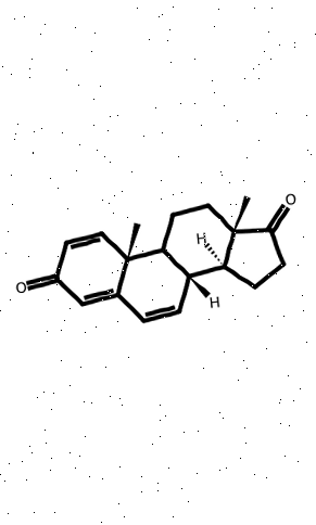 C[C@]12C=CC(=O)C=C1C=C[C@@H]1C2CC[C@]2(C)C(=O)CC[C@@H]12